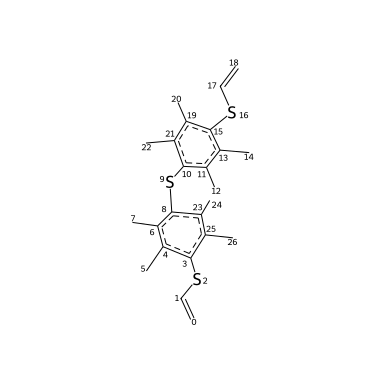 C=CSc1c(C)c(C)c(Sc2c(C)c(C)c(SC=C)c(C)c2C)c(C)c1C